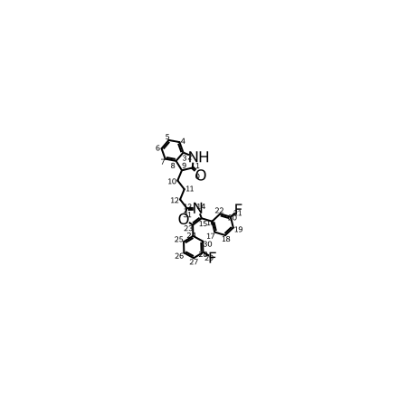 O=C1Nc2ccccc2C1CCCc1nc(-c2cccc(F)c2)c(-c2cccc(F)c2)o1